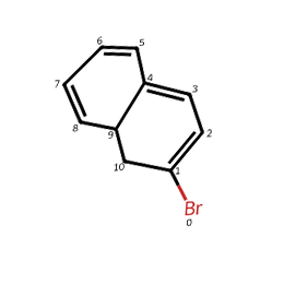 BrC1=CC=C2C=CC=CC2C1